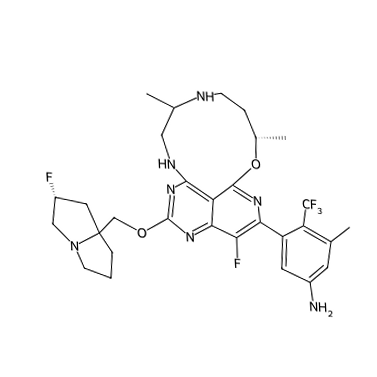 Cc1cc(N)cc(-c2nc3c4c(nc(OCC56CCCN5C[C@H](F)C6)nc4c2F)NCC(C)NCC[C@H](C)O3)c1C(F)(F)F